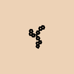 c1ccc2cc(-c3ccc(N(c4ccc(-c5cccc6c5ccc5ccccc56)cc4)c4ccc5ccc6ccccc6c5c4)cc3)ccc2c1